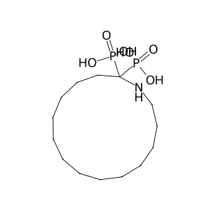 O=P(O)(O)C1(P(=O)(O)O)CCCCCCCCCCCCCN1